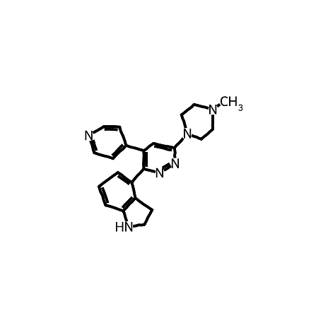 CN1CCN(c2cc(-c3ccncc3)c(-c3cccc4c3CCN4)nn2)CC1